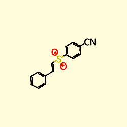 N#Cc1ccc(S(=O)(=O)C=Cc2ccccc2)cc1